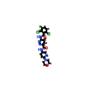 O=C(Nc1ccc(N2CCOCC2)nc1)c1cc2c(nn1)NC(c1c(Cl)ccc(F)c1Cl)O2